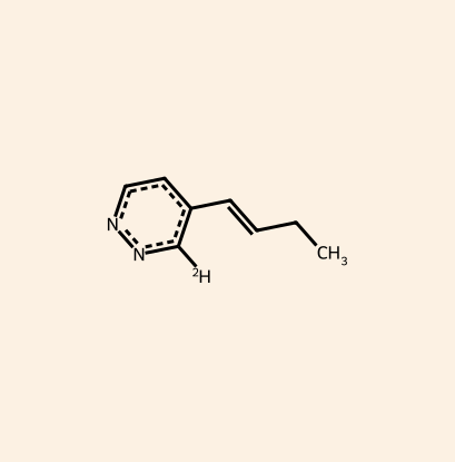 [2H]c1nnccc1C=CCC